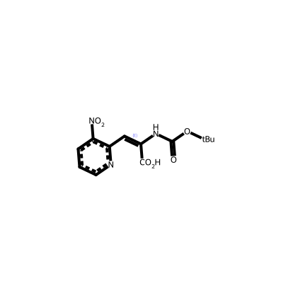 CC(C)(C)OC(=O)N/C(=C/c1ncccc1[N+](=O)[O-])C(=O)O